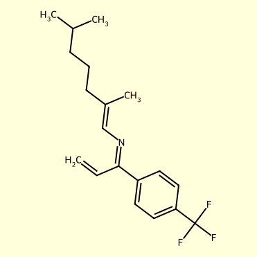 C=C/C(=N\C=C(/C)CCCC(C)C)c1ccc(C(F)(F)F)cc1